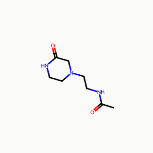 CC(=O)NCCN1CCNC(=O)C1